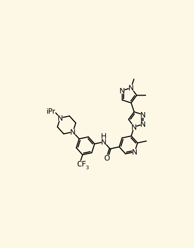 Cc1ncc(C(=O)Nc2cc(N3CCN(C(C)C)CC3)cc(C(F)(F)F)c2)cc1-n1cc(-c2cnn(C)c2C)nn1